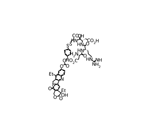 CCc1c2c(nc3ccc(OC(=O)OCc4ccc(SSC[C@H](NC(=O)[C@H](CC(=O)O)NC(=O)[C@H](CCCNC(=N)N)NC(=O)[C@@H](N)CC(=O)O)C(=O)O)cc4)cc13)-c1cc3c(c(=O)n1C2)COC(=O)[C@]3(O)CC